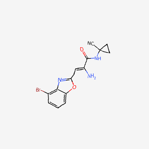 N#CC1(NC(=O)C(N)=Cc2nc3c(Br)cccc3o2)CC1